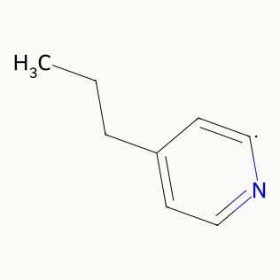 CCCc1c[c]ncc1